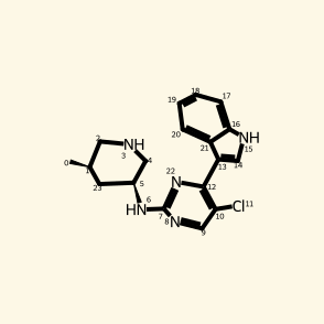 C[C@H]1CNC[C@@H](Nc2ncc(Cl)c(-c3c[nH]c4ccccc34)n2)C1